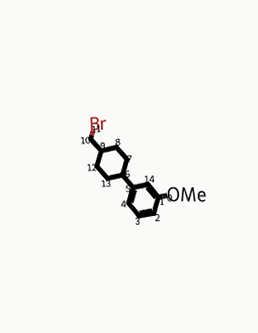 COc1cccc(C2CCC(CBr)CC2)c1